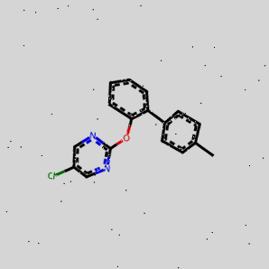 Cc1ccc(-c2ccccc2Oc2ncc(Cl)cn2)cc1